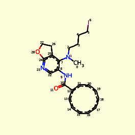 CN(CCCCI)c1c(NC(=O)c2ccccccccc2)cnc2c1CCO2